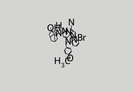 COc1ccc(CN(c2cccc(Br)n2)c2cc(NC34CC5CC(CC(O)(C5)C3)C4)nn3c(C#N)cnc23)cc1